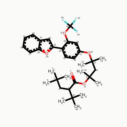 CC(C)(C)CC(C(=O)OC(C)(C)CC(C)(C)Oc1ccc(-c2cc3ccccc3o2)c(OC(F)(F)F)c1)C(C)(C)C